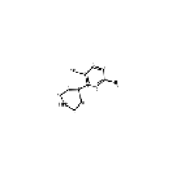 Fc1ccc(Br)nc1C1=CCNCC1